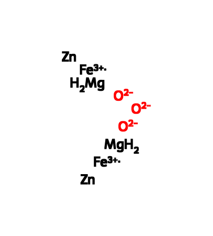 [Fe+3].[Fe+3].[MgH2].[MgH2].[O-2].[O-2].[O-2].[Zn].[Zn]